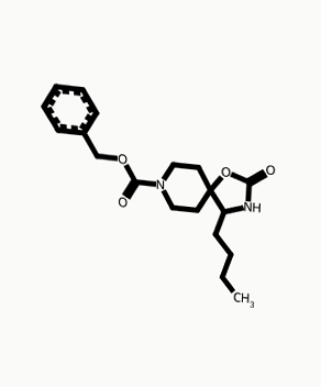 CCCCC1NC(=O)OC12CCN(C(=O)OCc1ccccc1)CC2